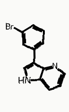 Brc1cccc(-c2c[nH]c3cccnc23)c1